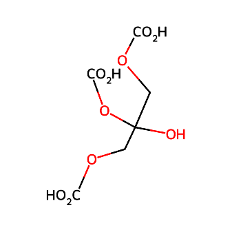 O=C(O)OCC(O)(COC(=O)O)OC(=O)O